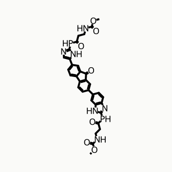 COC(=O)NCCC(=O)Pc1ncc(-c2ccc3c(c2)C(=O)c2cc(-c4ccc5nc(PC(=O)CCNC(=O)OC)[nH]c5c4)ccc2-3)[nH]1